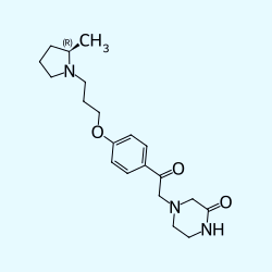 C[C@@H]1CCCN1CCCOc1ccc(C(=O)CN2CCNC(=O)C2)cc1